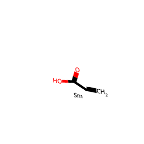 C=CC(=O)O.[Sm]